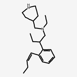 CC/C=C\c1ccccc1C(CC)CN(CC)CC1CCNCC1